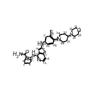 NC(=O)C1C2C=CC(C2)C1Nc1nccc2sc(Nc3ccc(N4CCC(N5CCOCC5)CC4)c(F)c3)cc12